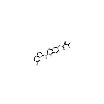 CC(C)NC(=O)Nc1ccc2nc(NC3CCc4ccc(F)cc43)ccc2c1